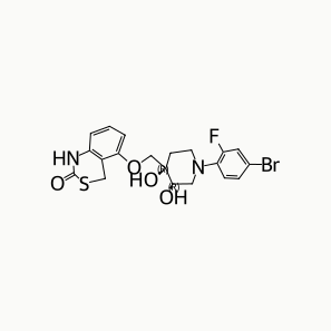 O=C1Nc2cccc(OC[C@]3(O)CCN(c4ccc(Br)cc4F)C[C@H]3O)c2CS1